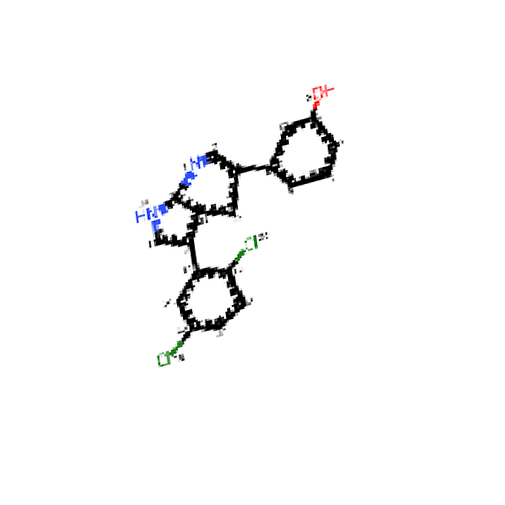 Oc1cccc(-c2cnc3[nH]cc(-c4cc(Cl)ccc4Cl)c3c2)c1